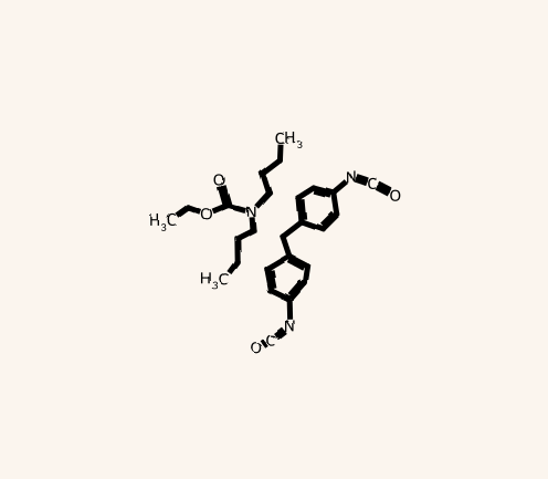 CCCCN(CCCC)C(=O)OCC.O=C=Nc1ccc(Cc2ccc(N=C=O)cc2)cc1